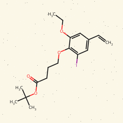 C=Cc1cc(I)c(OCCCC(=O)OC(C)(C)C)c(OCC)c1